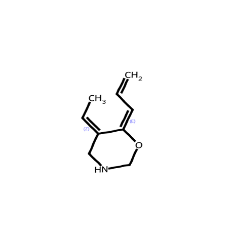 C=C/C=C1/OCNC/C1=C/C